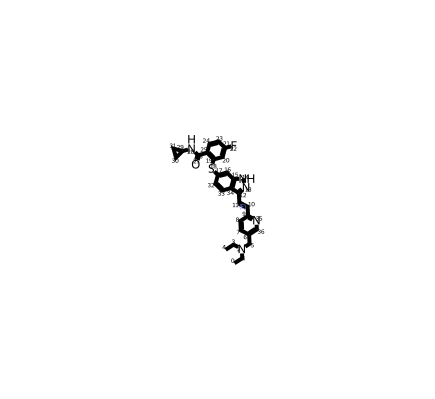 CCN(CC)Cc1ccc(/C=C/c2n[nH]c3cc(Sc4cc(F)ccc4C(=O)NC4CC4)ccc23)nc1